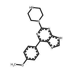 COc1ccc(-c2nc(N3CCNCC3)nc3[nH]cnc23)cc1